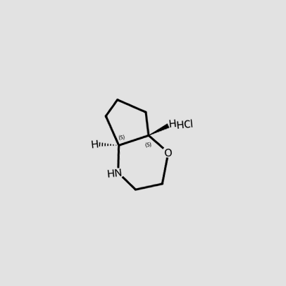 C1C[C@@H]2NCCO[C@H]2C1.Cl